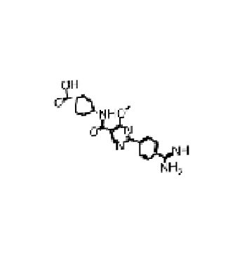 COc1nc(-c2ccc(C(=N)N)cc2)ncc1C(=O)N[C@H]1CC[C@H](C(=O)O)CC1